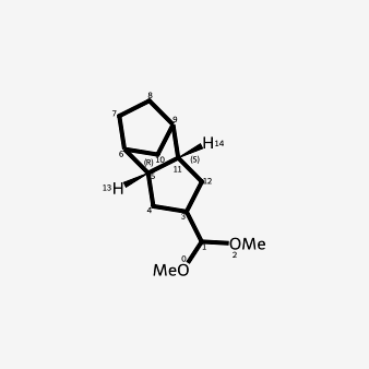 COC(OC)C1C[C@@H]2C3CCC(C3)[C@@H]2C1